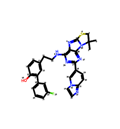 CC1(C)CSc2nc3c(NCCc4ccc(O)c(-c5cccc(F)c5)c4)nc(-c4ccc5nccn5c4)nc3n21